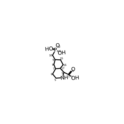 O=C(O)C1NCCC2CC(CP(=O)(O)O)CCC21